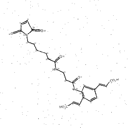 O=C(O)C=Cc1ccc(C=CC(=O)O)c(NC(=O)CCNC(=O)CCCCCN2C(=O)C=CC2=O)c1